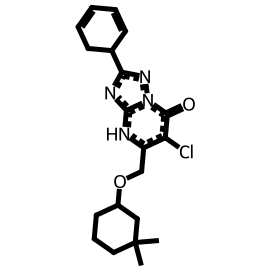 CC1(C)CCCC(OCc2[nH]c3nc(C4C=CC=CC4)nn3c(=O)c2Cl)C1